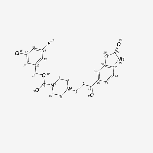 O=C(CCN1CCN(C(=O)OCc2cc(F)cc(Cl)c2)CC1)c1ccc2[nH]c(=O)oc2c1